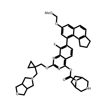 COCOc1cc(-c2ccc3c(OC(=O)N4C5CCC4CNC5)nc(OCC4(CN5CC6COCC6C5)CC4)nc3c2F)c2c3c(ccc2c1)CCC3